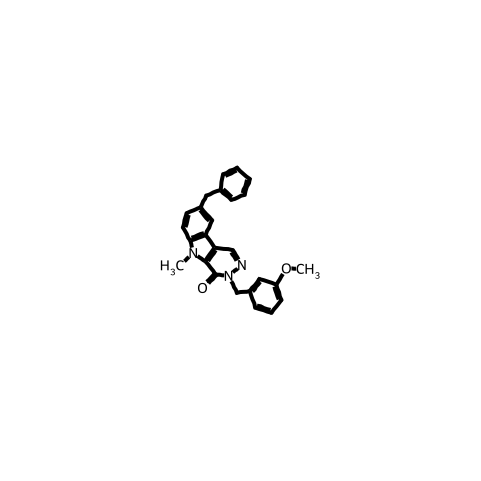 COc1cccc(Cn2ncc3c4cc(Cc5ccccc5)ccc4n(C)c3c2=O)c1